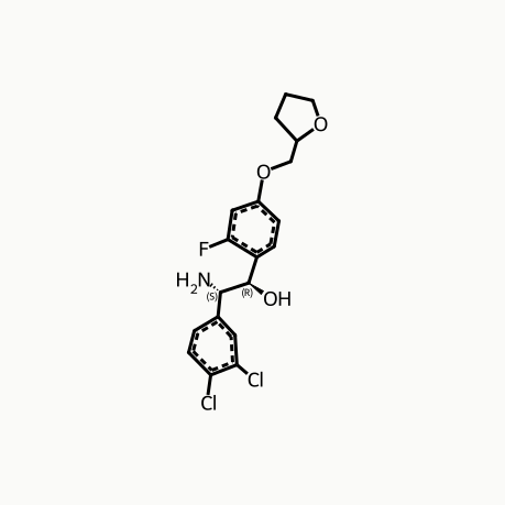 N[C@@H](c1ccc(Cl)c(Cl)c1)[C@H](O)c1ccc(OCC2CCCO2)cc1F